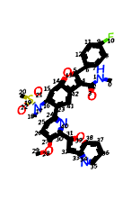 CNC(=O)c1c(-c2ccc(F)cc2)oc2cc(N(C)S(C)(=O)=O)c(-c3ccc(OC)c(-c4cc5ncccc5o4)n3)cc12